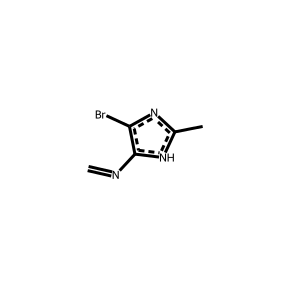 C=Nc1[nH]c(C)nc1Br